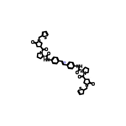 O=C(Nc1ccc(/C=C/c2ccc(NC(=O)[C@@H]3CCCN3C(=O)C3CC(=O)N(CC4CC=CS4)C3)cc2)cc1)[C@@H]1CCCN1C(=O)C1CC(=O)N(Cc2cccs2)C1